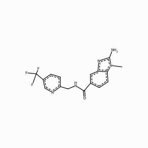 Cn1c(N)nc2cc(C(=O)NCc3ccc(C(F)(F)F)cn3)ccc21